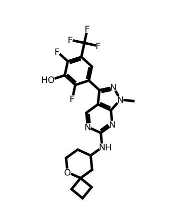 Cn1nc(-c2cc(C(F)(F)F)c(F)c(O)c2F)c2cnc(NC3CCOC4(CCC4)C3)nc21